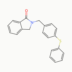 O=C1c2ccccc2CN1Cc1ccc(Sc2ccccc2)cc1